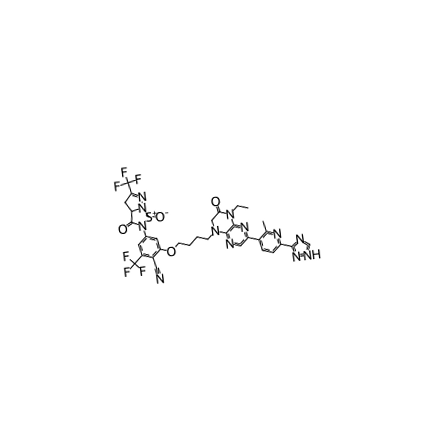 CCN1C(=O)CN(CCCCOc2cc(N3C(=O)C4CC(C(F)(F)F)=NN4[S+]3[O-])cc(C(F)(F)F)c2C#N)c2ncc(-c3ccc(-c4nc[nH]n4)nc3C)nc21